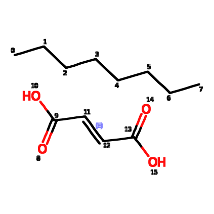 CCCCCCCC.O=C(O)/C=C/C(=O)O